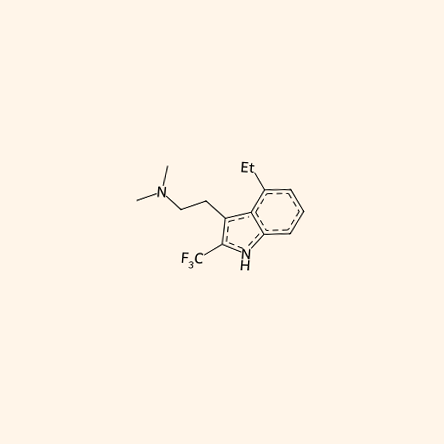 CCc1cccc2[nH]c(C(F)(F)F)c(CCN(C)C)c12